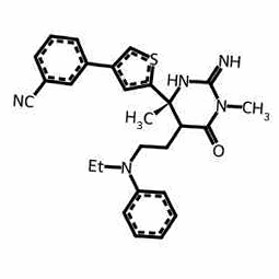 CCN(CCC1C(=O)N(C)C(=N)N[C@@]1(C)c1cc(-c2cccc(C#N)c2)cs1)c1ccccc1